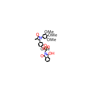 C=C1C(=O)N(c2cc(OC)c(OC)c(OC)c2)[C@H]1c1ccc(OC)c(OS(=O)(=O)CCN2C(=O)c3ccccc3C2O)c1